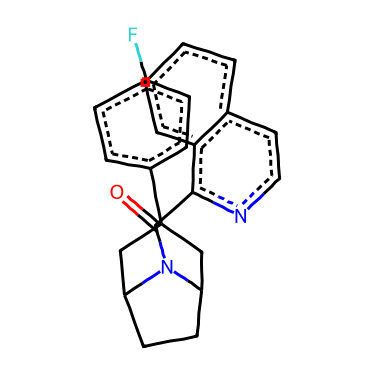 O=C(c1nccc2ccccc12)N1C2CCC1CC(c1ccc(F)cc1)C2